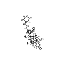 C[C@]12C=CC(=O)C=C1[C@@H](F)C[C@H]1[C@@H]3C[C@H]4CN(CCCc5ccccc5)O[C@@]4(C(=O)CCl)[C@@]3(C)C[C@H](O)[C@@]12F